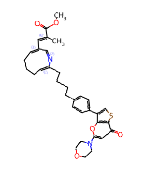 COC(=O)/C(C)=C/C1=C/CCC/C=C(CCCCc2ccc(-c3csc4c(=O)cc(N5CCOCC5)oc34)cc2)/N=C\1